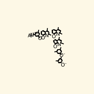 Cc1cc(C)c2cccc([O-])c2n1.Cc1cc(C)c2cccc([O-])c2n1.Cc1cc(C)c2cccc([O-])c2n1.Cc1cc(C)cc([O-])c1.Cc1cc(C)cc([O-])c1.Cc1cc(C)cc([O-])c1.[Al+3].[Al+3]